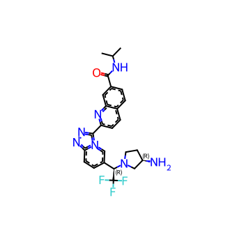 CC(C)NC(=O)c1ccc2ccc(-c3nnc4ccc([C@@H](N5CC[C@@H](N)C5)C(F)(F)F)cn34)nc2c1